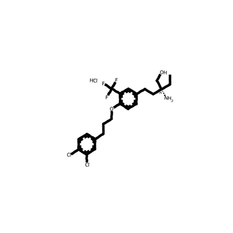 CC[C@](N)(CO)CCc1ccc(OCCCc2ccc(Cl)c(Cl)c2)c(C(F)(F)F)c1.Cl